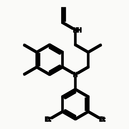 C=CNCC(C)CN(c1cc(CC)cc(CC)c1)c1ccc(C)c(C)c1